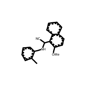 COc1ccc2ccccc2c1C(C#N)Nc1ccccc1C